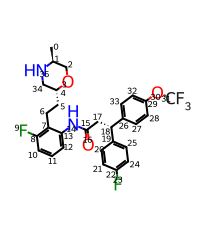 C[C@H]1CO[C@H](CCc2c(F)cccc2NC(=O)C[C@@H](c2ccc(F)cc2)c2ccc(OC(F)(F)F)cc2)CN1